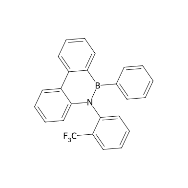 FC(F)(F)c1ccccc1N1B(c2ccccc2)c2ccccc2-c2ccccc21